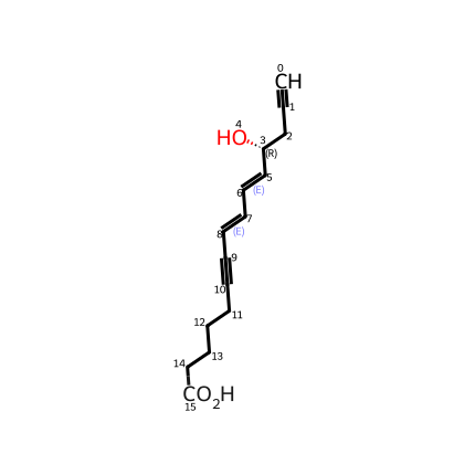 C#CC[C@@H](O)/C=C/C=C/C#CCCCCC(=O)O